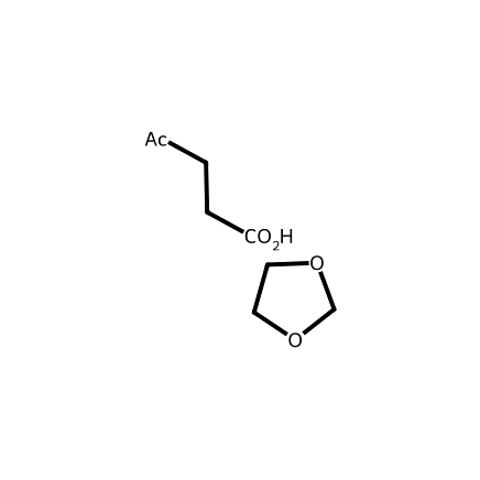 C1COCO1.CC(=O)CCC(=O)O